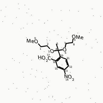 COCCOC(C)(OCCOC)c1ccc([N+](=O)[O-])cc1C(=O)O